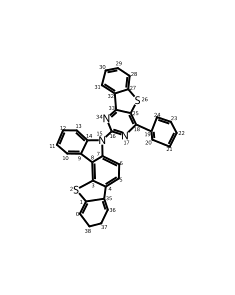 C1=c2sc3c(ccc4c3c3ccccc3n4-c3nc(-c4ccccc4)c4sc5ccccc5c4n3)c2=CCC1